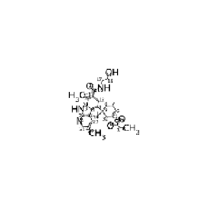 CCS(=O)(=O)C1=CC=CC(I)(c2cc(C(=O)NCCO)c(C)c3[nH]c4ncc(C)cc4c23)C1